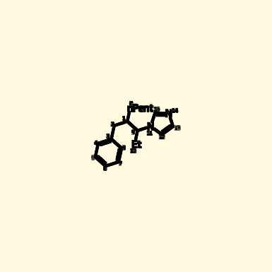 CCCCCC(Cc1ccccc1)C(CC)n1ccnc1